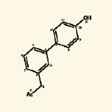 CC(=O)Cc1cccc(-c2ccc(O)cc2)c1